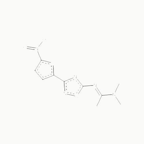 C/C(=N\c1nc(-c2ccc([N+](=O)[O-])o2)ns1)N(C)C